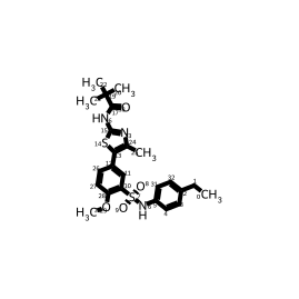 CCc1ccc(NS(=O)(=O)c2cc(-c3sc(NC(=O)C(C)(C)C)nc3C)ccc2OC)cc1